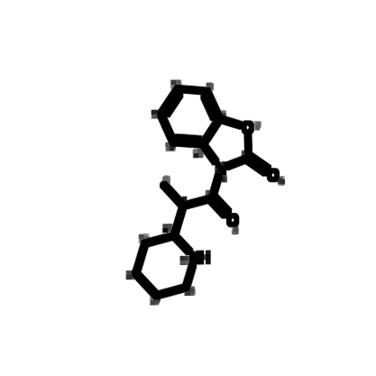 CC(C(=O)n1c(=O)oc2ccccc21)C1CCCCN1